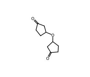 O=C1CCC(OC2CCC(=O)C2)C1